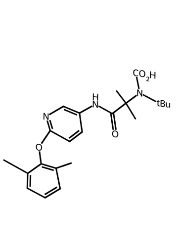 Cc1cccc(C)c1Oc1ccc(NC(=O)C(C)(C)N(C(=O)O)C(C)(C)C)cn1